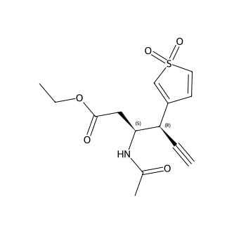 C#C[C@H](C1=CS(=O)(=O)C=C1)[C@H](CC(=O)OCC)NC(C)=O